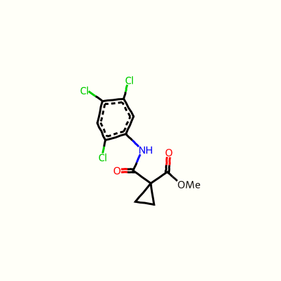 COC(=O)C1(C(=O)Nc2cc(Cl)c(Cl)cc2Cl)CC1